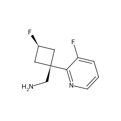 NC[C@]1(c2ncccc2F)C[C@H](F)C1